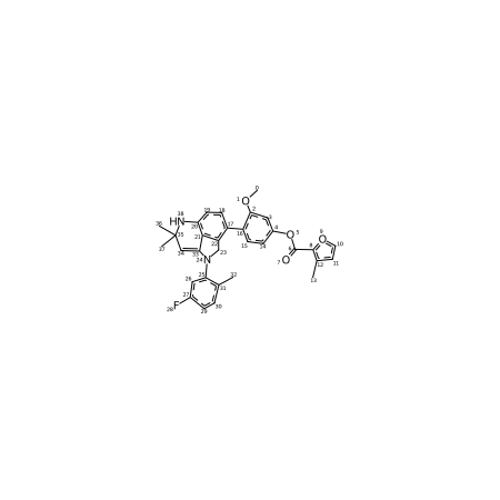 COc1cc(OC(=O)c2occc2C)ccc1-c1ccc2c3c1CN(c1cc(F)ccc1C)C3=CC(C)(C)N2